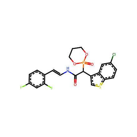 O=C(N/C=C/c1ccc(F)cc1F)C(c1csc2ccc(Cl)cc12)P1(=O)OCCCO1